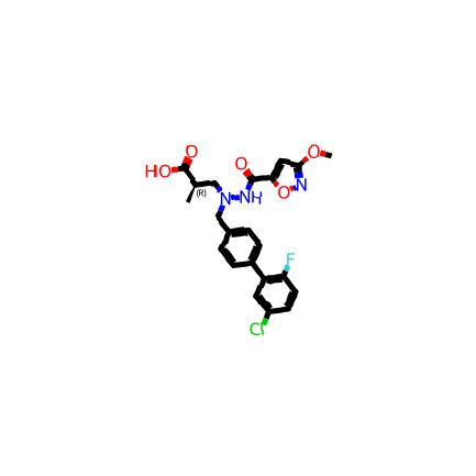 COc1cc(C(=O)NN(Cc2ccc(-c3cc(Cl)ccc3F)cc2)C[C@@H](C)C(=O)O)on1